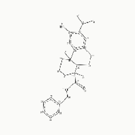 CC(C)c1cc2c(cc1Br)C1(C)CCCC(C)(C(=O)OCc3ccccc3)C1CC2